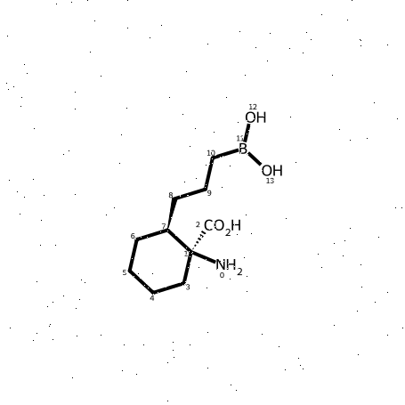 N[C@@]1(C(=O)O)CCCC[C@H]1CCCB(O)O